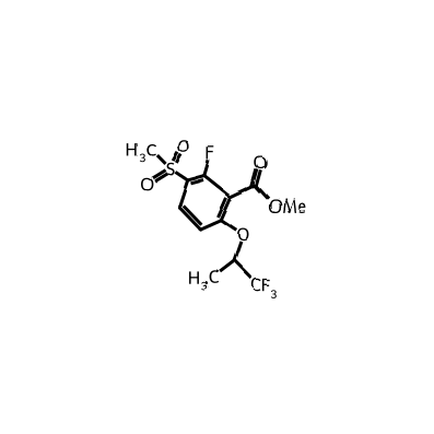 COC(=O)c1c(OC(C)C(F)(F)F)ccc(S(C)(=O)=O)c1F